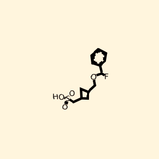 O=S(=O)(O)CC1CC(COC(F)c2ccccc2)C1